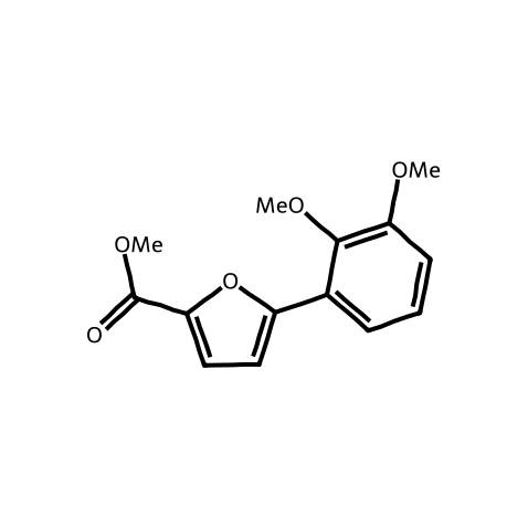 COC(=O)c1ccc(-c2cccc(OC)c2OC)o1